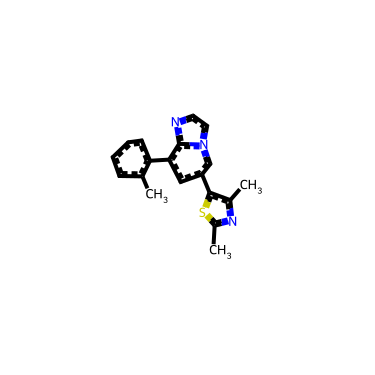 Cc1nc(C)c(-c2cc(-c3ccccc3C)c3nccn3c2)s1